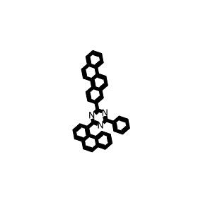 c1ccc(-c2nc(-c3ccc4c(ccc5c6ccccc6ccc45)c3)nc(-c3cccc4ccc5ccccc5c34)n2)cc1